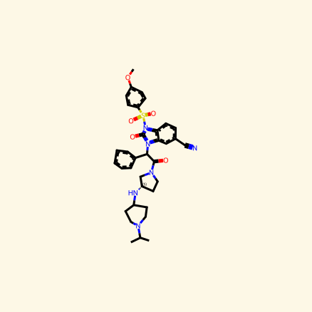 COc1ccc(S(=O)(=O)n2c(=O)n(C(C(=O)N3CC[C@H](NC4CCN(C(C)C)CC4)C3)c3ccccc3)c3cc(C#N)ccc32)cc1